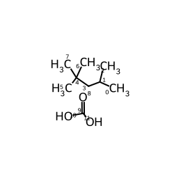 CC(C)CC(C)(C)C.O=C(O)O